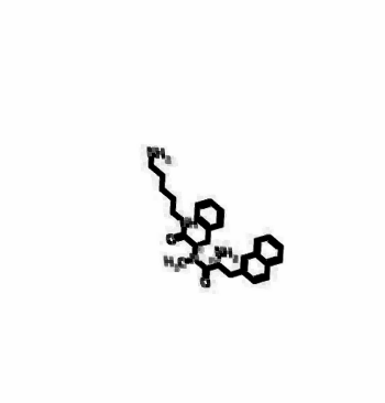 CN(C(=O)[C@H](N)Cc1ccc2ccccc2c1)[C@H](Cc1ccccc1)C(=O)NCCCCCN